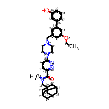 CCOc1cc(CN2CCN(c3ccc(C(=O)N(C)CC45CC6CC(CC(C6)C4)C5)nn3)CC2)cc(-c2cccc(O)c2)c1